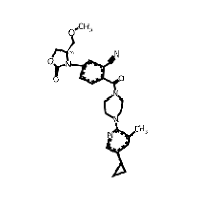 COC[C@@H]1COC(=O)N1c1ccc(C(=O)N2CCN(c3ncc(C4CC4)cc3C)CC2)c(C#N)c1